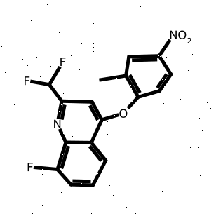 Cc1cc([N+](=O)[O-])ccc1Oc1cc(C(F)F)nc2c(F)cccc12